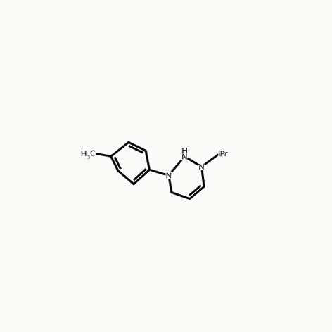 Cc1ccc(N2CC=CN(C(C)C)N2)cc1